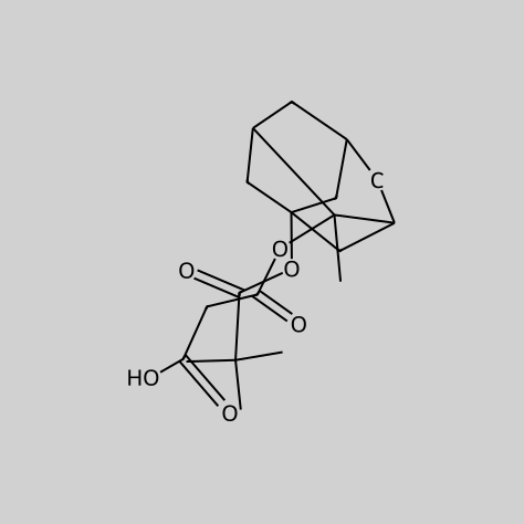 CC(C)(C)C(=O)OC12CC3CC(C1)C(C)(OC(=O)CC(=O)O)C(C3)C2